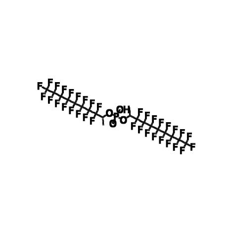 CC(OP(=O)(O)OC(C)C(F)(F)C(F)(F)C(F)(F)C(F)(F)C(F)(F)C(F)(F)C(F)(F)C(F)(F)F)C(F)(F)C(F)(F)C(F)(F)C(F)(F)C(F)(F)C(F)(F)C(F)(F)C(F)(F)F